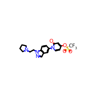 O=c1cc(OS(=O)(=O)C(F)(F)F)ccn1-c1ccc2c(cnn2CCN2CCCC2)c1